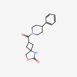 O=C1NC2(CO1)CC(C(=O)N1CCC(c3ccccc3)CC1)C2